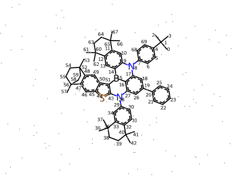 CC(C)(C)c1ccc(N2c3cc4c(cc3B3c5c2cc(-c2ccccc2)cc5N(c2ccc5c(c2)C(C)(C)CCC5(C)C)c2sc5cc6c(cc5c23)C2(C)CCC6(C)CC2)C(C)(C)CCC4(C)C)cc1